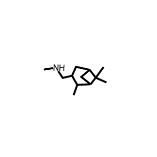 CNCC1CC2CC(C1C)C2(C)C